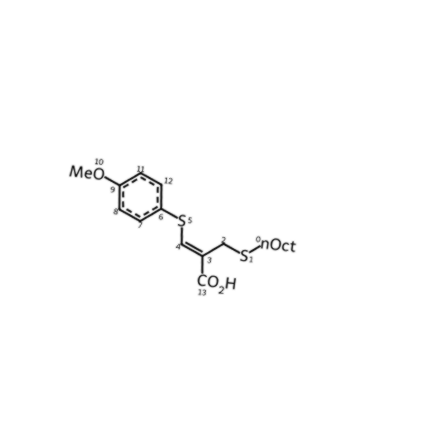 CCCCCCCCSCC(=CSc1ccc(OC)cc1)C(=O)O